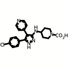 O=C(O)N1CCC(Nc2n[nH]c(-c3ccc(Cl)cc3)c2-c2ccncc2)CC1